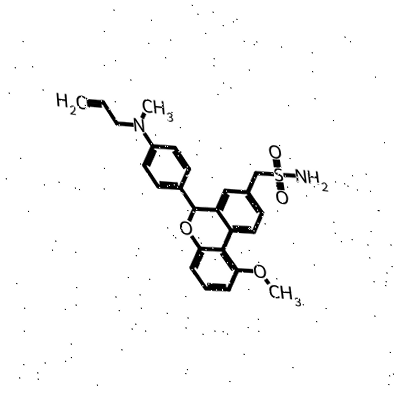 C=CCN(C)c1ccc(C2Oc3cccc(OC)c3-c3ccc(CS(N)(=O)=O)cc32)cc1